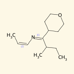 C/C=C\N=C(/C(C)CC)C1CCOCC1